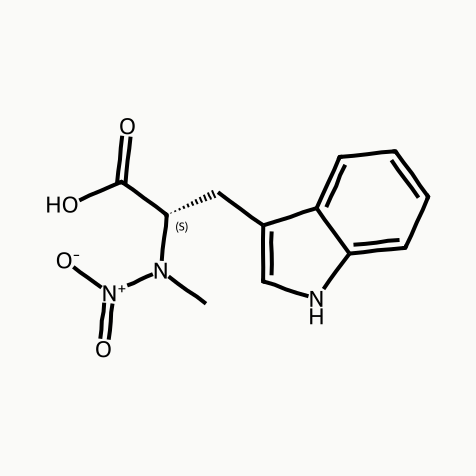 CN([C@@H](Cc1c[nH]c2ccccc12)C(=O)O)[N+](=O)[O-]